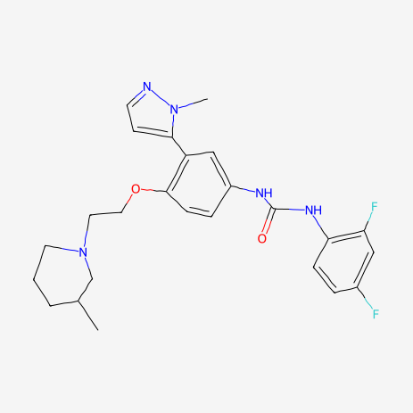 CC1CCCN(CCOc2ccc(NC(=O)Nc3ccc(F)cc3F)cc2-c2ccnn2C)C1